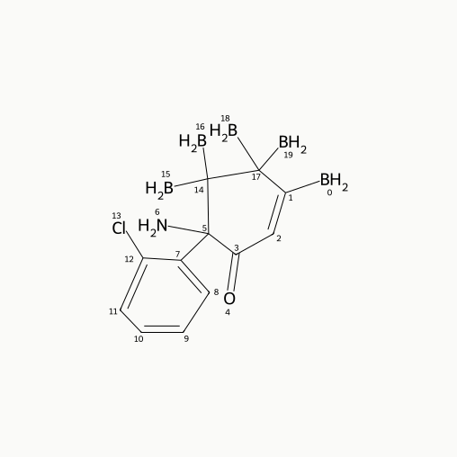 BC1=CC(=O)C(N)(c2ccccc2Cl)C(B)(B)C1(B)B